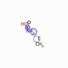 CC1CCCCCC(C2=C/C=C\C=C/C=C(c3cc(-c4ccccc4O)nnc3N)\C=C/C=C\2)CCCC1